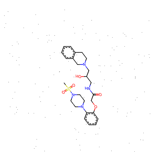 CS(=O)(=O)N1CCN(c2ccccc2OCC(=O)NCC(O)CN2CCc3ccccc3C2)CC1